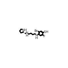 Fc1cc(NCCCCNC[C@@H]2CCCN2)c(Br)cc1S